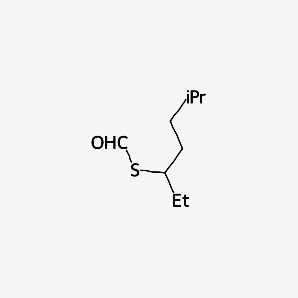 CCC(CCC(C)C)SC=O